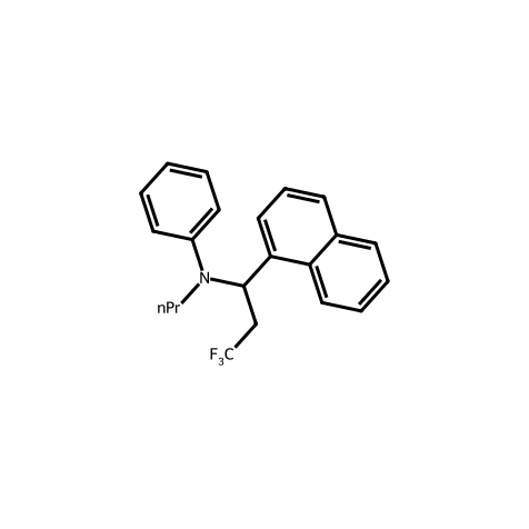 CCCN(c1ccccc1)C(CC(F)(F)F)c1cccc2ccccc12